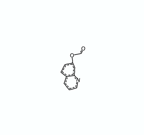 O=COc1ccc2cccnc2c1